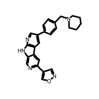 c1cc(-c2cnc3[nH]c4cnc(-c5cnoc5)cc4c3c2)ccc1CN1CCCCC1